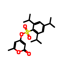 Cc1cc(OS(=O)(=O)c2c(C(C)C)cc(C(C)C)cc2C(C)C)cc(=O)o1